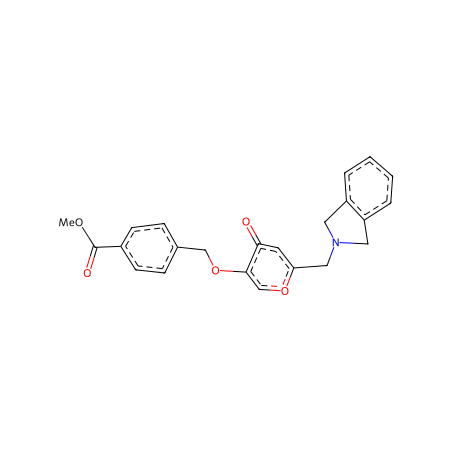 COC(=O)c1ccc(COc2coc(CN3Cc4ccccc4C3)cc2=O)cc1